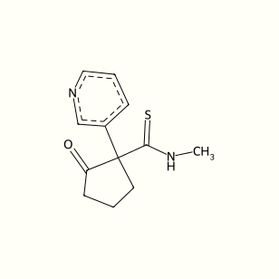 CNC(=S)C1(c2cccnc2)CCCC1=O